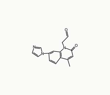 Cc1cc(=O)n(CC=O)c2cc(-n3ccnc3)ccc12